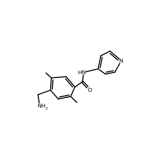 Cc1cc(C(=O)Nc2ccncc2)c(C)cc1CN